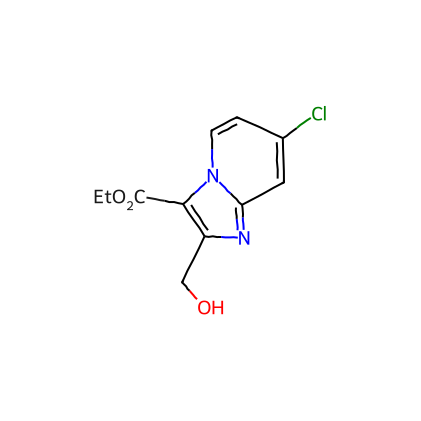 CCOC(=O)c1c(CO)nc2cc(Cl)ccn12